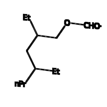 CCCC(CC)CC(CC)CO[C]=O